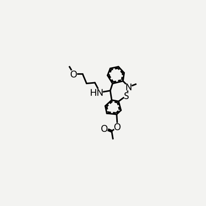 COCCCNC1c2ccc(OC(C)=O)cc2SN(C)c2ccccc21